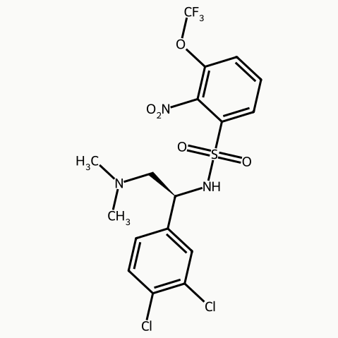 CN(C)C[C@@H](NS(=O)(=O)c1cccc(OC(F)(F)F)c1[N+](=O)[O-])c1ccc(Cl)c(Cl)c1